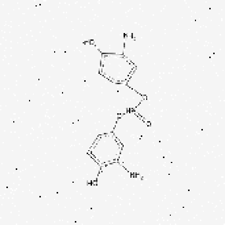 Nc1cc(O[PH](=O)Oc2ccc(O)c(N)c2)ccc1O